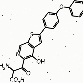 NC(C(=O)O)C(=O)c1ncc2sc(-c3ccc(Oc4ccccc4)cc3)cc2c1O